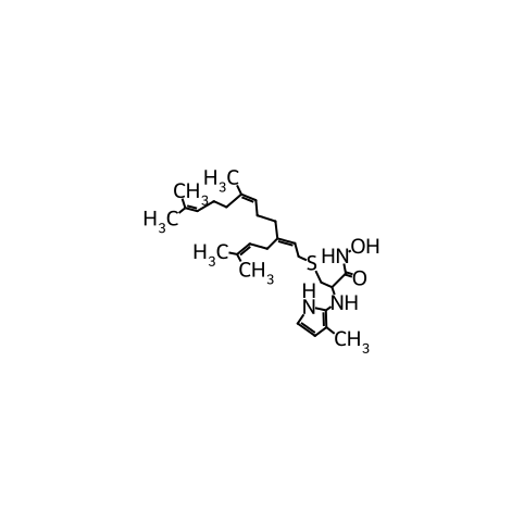 CC(C)=CCCC(C)=CCCC(=CCSCC(Nc1[nH]ccc1C)C(=O)NO)CC=C(C)C